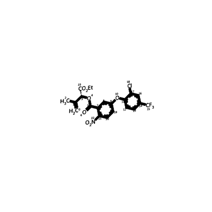 C=C(C)[C@@H](OC(=O)c1cc(Oc2ccc(C(F)(F)F)cc2Cl)ccc1[N+](=O)[O-])C(=O)OCC